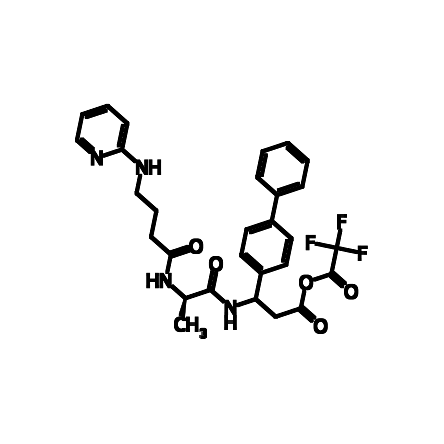 C[C@@H](NC(=O)CCCNc1ccccn1)C(=O)NC(CC(=O)OC(=O)C(F)(F)F)c1ccc(-c2ccccc2)cc1